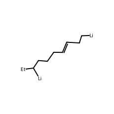 [Li][CH2]CC=CCCC[CH]([Li])CC